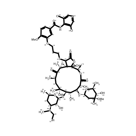 COc1ccc(C(=O)Nc2c(Cl)cncc2Cl)cc1OCCCSC1C(=O)O[C@@]2(C)[C@H]1[C@@H](C)C(=O)[C@H](C)C[C@@](C)(OC)[C@H](O[C@@H]1O[C@H](C)C[C@H](N(C)CC(C)C)[C@H]1O)[C@@H](C)[C@H](O[C@H]1C[C@@](C)(OC)[C@@H](O)[C@H](C)O1)[C@@H](C)C(=O)O[C@@H]2I